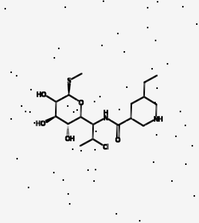 CCC1CNCC(C(=O)NC(C(C)Cl)C2O[C@H](SC)C(O)[C@H](O)[C@H]2O)C1